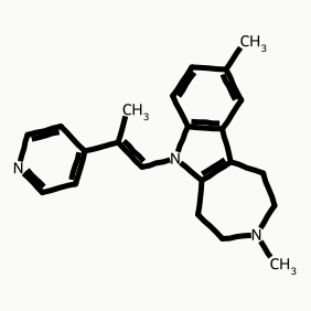 CC(=Cn1c2c(c3cc(C)ccc31)CCN(C)CC2)c1ccncc1